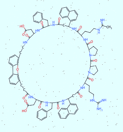 CC(=N)NCCCC1NC(=O)C2CCCN2C(=O)C2CCCN2C(=O)C(CCCNC(=N)N)NC(=O)CC(c2cccc3ccccc23)NC(=O)C(Cc2ccccc2)NC(=O)C(CC(=O)O)NC(=O)CCc2cccc3c2oc2c(cccc23)CCNC(=O)C(CC(=O)O)NC(=O)C(Cc2ccccc2)NC(=O)CC(c2cccc3ccccc23)NC1=O